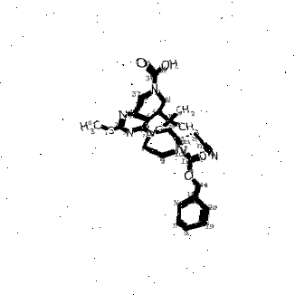 CSc1nc2c(c(N3CCN(C(=O)OCc4ccccc4)[C@@H](CC#N)C3)n1)C(C(C)(C)C)CN(C(=O)O)C2